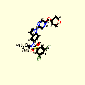 CC(C)(C)C(C(=O)O)N(c1ccc2c(ccn2-c2cnc(OC3CCOCC3)cn2)c1)S(=O)(=O)c1cc(Cl)cc(Cl)c1